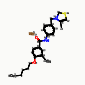 Br.CCCCCCCCCCCCCCOc1ccc(C(=O)Nc2ccc(CN3CSC=C3C)cc2)cc1C(C)(C)C